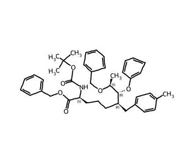 Cc1ccc(C[C@@H](CCC[C@H](NC(=O)OC(C)(C)C)C(=O)OCc2ccccc2)[C@@H](Oc2ccccc2)[C@H](C)OCc2ccccc2)cc1